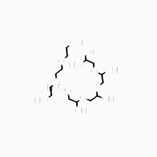 COCC(C)OCC(C)OCC(C)OCC(C)O.OCCOCCOCCO